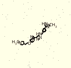 CN/N=C(\C=N)c1ccc(CNc2cc(-c3cnc4cc(OCCC5CCN(C)CC5)ccn34)ncn2)cc1